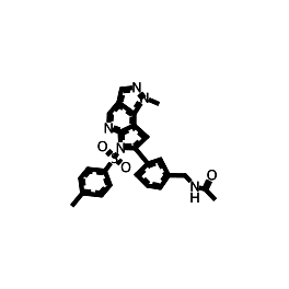 CC(=O)NCc1cccc(-c2cc3c4c(cnc3n2S(=O)(=O)c2ccc(C)cc2)cnn4C)c1